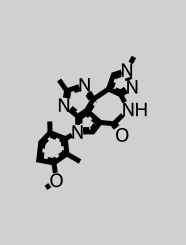 COc1ccc(C)c(-n2cc3c4c(nc(C)nc42)-c2cn(C)nc2NC3=O)c1C